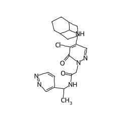 CC(NC(=O)Cn1ncc(NC2C3CCCC2CCC3)c(Cl)c1=O)c1ccnnc1